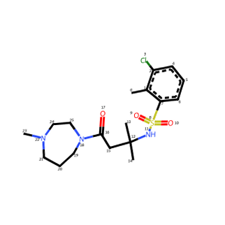 Cc1c(Cl)cccc1S(=O)(=O)NC(C)(C)CC(=O)N1CCCN(C)CC1